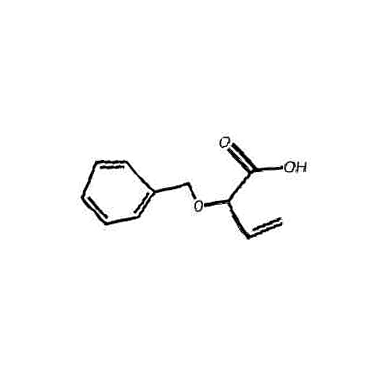 C=CC(OCc1ccccc1)C(=O)O